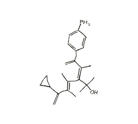 C=C(/C(C)=C(\C(C)=C(/C)C(=C)C1CC1)C(C)(C)O)c1ccc(P)cc1